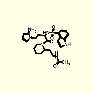 CC(=O)NCCC1CCCCN1C(=O)C(CCn1cccc1N)NS(=O)(=O)c1cccc2[nH]ccc12